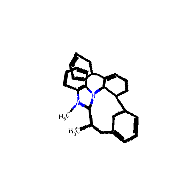 CC1CC2=CC=CC(C2)C2CCC=C(C3C=CC=CC3)C2N2C3=C(CCC=C3)N(C)C12